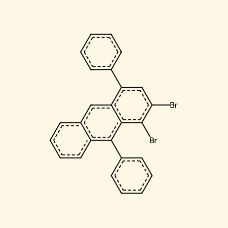 Brc1cc(-c2ccccc2)c2cc3ccccc3c(-c3ccccc3)c2c1Br